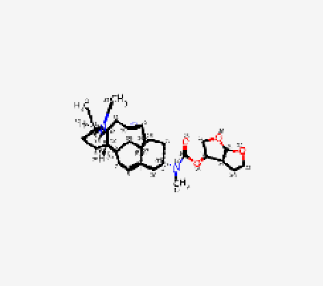 C[C@H]1[C@H]2CC[C@H]3[C@@H]4CC=C5C[C@@H](N(C)C(=O)OC6COC7OCCC67)CC[C@]5(C/C=C/CC23CN1C)C4